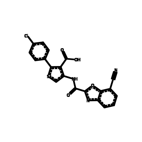 N#Cc1cccc2nc(C(=O)Nc3csc(-c4ccc(Cl)cc4)c3C(=O)O)oc12